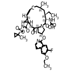 CCOc1cc2ccnc(O[C@@H]3C[C@H]4C(=O)N[C@]5(C(=O)NS(=O)(=O)C6(C)CC6)C[C@H]5C=CCC[C@@H](C)C[C@@H](CC)[C@H](NC(=O)O)C(=O)N4C3)c2cc1F